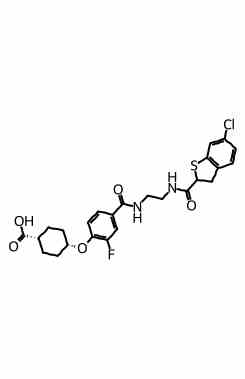 O=C(NCCNC(=O)C1Cc2ccc(Cl)cc2S1)c1ccc(O[C@H]2CC[C@@H](C(=O)O)CC2)c(F)c1